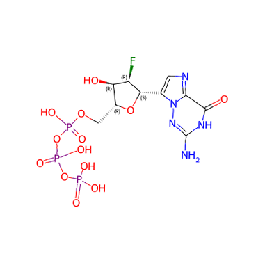 Nc1nn2c([C@@H]3O[C@H](COP(=O)(O)OP(=O)(O)OP(=O)(O)O)[C@@H](O)[C@H]3F)cnc2c(=O)[nH]1